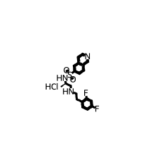 C[C@H](CNCCc1ccc(F)cc1F)NS(=O)(=O)c1ccc2cnccc2c1.Cl